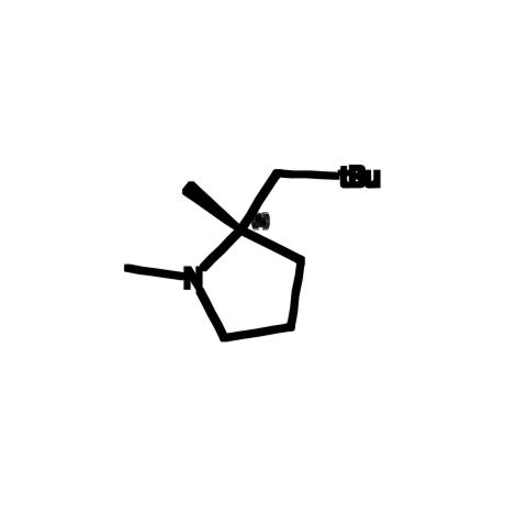 CN1CCC[C@@]1(C)CC(C)(C)C